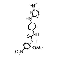 COc1cc([N+](=O)[O-])ccc1NC(=S)NC1CCC(Nc2nccc(N(C)C)n2)CC1